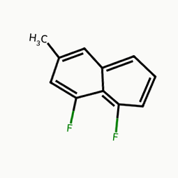 Cc1cc(F)c2c(F)cccc2c1